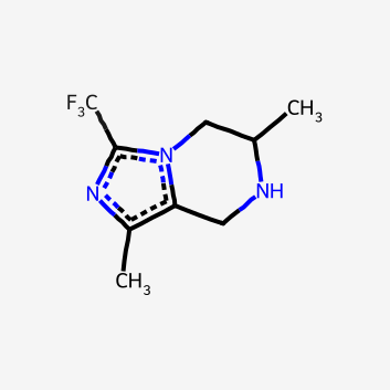 Cc1nc(C(F)(F)F)n2c1CNC(C)C2